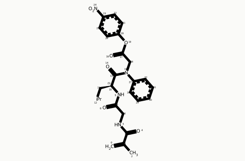 C=C(C)C(=O)NCC(=O)N[C@@H](CC(C)C)C(=O)N(CC(=O)Oc1ccc([N+](=O)[O-])cc1)c1ccccc1